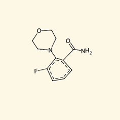 NC(=O)c1cccc(F)c1N1CCOCC1